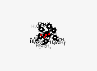 CC(C)(C)c1ccc(N2c3ccc(C(C)(C)C)cc3B3c4cc(C(C)(C)C)ccc4Oc4cc(-n5c6ccccc6c6cccc(N(c7ccc(C(C)(C)C)cc7)c7ccc(C(C)(C)C)cc7)c65)cc2c43)cc1